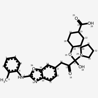 Cc1ccccc1Nc1nc2ccc(CC(=O)C(O)(OC3CCC(C(=O)O)CC3)N3CCCC3)cc2o1